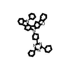 c1ccc(-c2nc(-c3ccccc3)nc(-c3ccc(-n4c5cc6oc7ccccc7c6cc5c5c4ccc4c6ccccc6n(-c6ccccc6)c45)cc3)n2)cc1